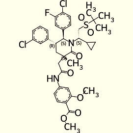 COC(=O)c1ccc(NC(=O)C[C@]2(C)C[C@H](c3cccc(Cl)c3)[C@@H](c3ccc(Cl)c(F)c3)N([C@H](CS(=O)(=O)C(C)(C)C)C3CC3)C2=O)cc1OC